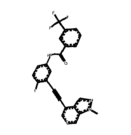 Cn1ncc2c(C#Cc3cc(NC(=O)c4cccc(C(F)(F)F)c4)ccc3F)cncc21